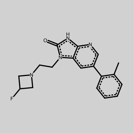 Cc1ccccc1-c1cnc2[nH]c(=O)n(CCN3CC(F)C3)c2c1